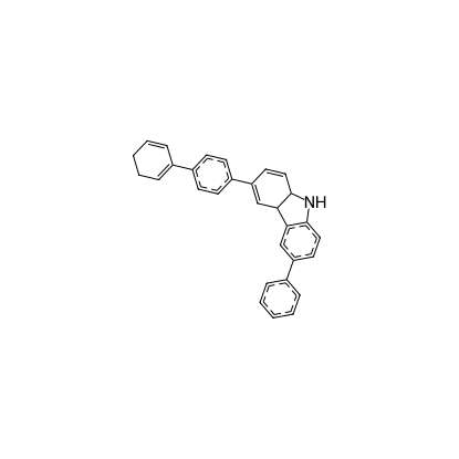 C1=CC(c2ccc(C3=CC4c5cc(-c6ccccc6)ccc5NC4C=C3)cc2)=CCC1